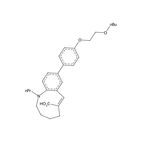 CCCCOCCOc1ccc(-c2ccc3c(c2)/C=C(\C(=O)O)CCCCN3CCC)cc1